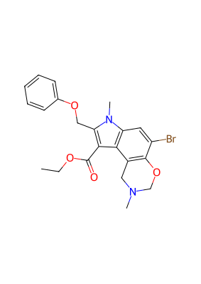 CCOC(=O)c1c(COc2ccccc2)n(C)c2cc(Br)c3c(c12)CN(C)CO3